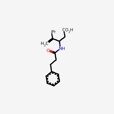 C=C(C(C)C)C(CC(=O)O)NC(=O)CCc1ccccc1